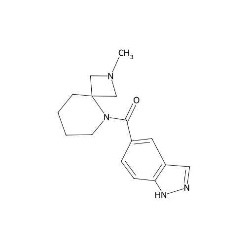 CN1CC2(CCCCN2C(=O)c2ccc3[nH]ncc3c2)C1